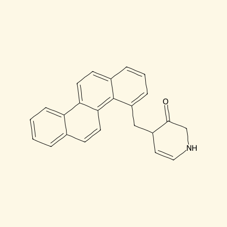 O=C1CNC=CC1Cc1cccc2ccc3c4ccccc4ccc3c12